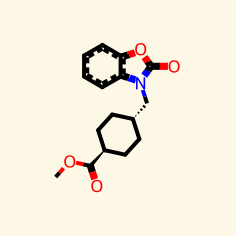 COC(=O)[C@H]1CC[C@H](Cn2c(=O)oc3ccccc32)CC1